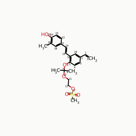 C=Cc1ccc(OC(C)(C)OCCOS(C)(=O)=O)c(C=Cc2ccc(O)c(C)c2)c1